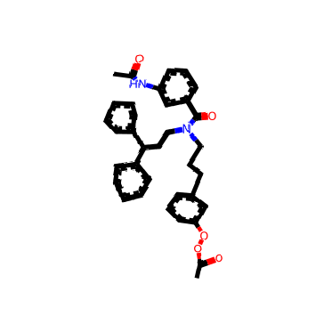 CC(=O)Nc1cccc(C(=O)N(CCCc2cccc(OOC(C)=O)c2)CCC(c2ccccc2)c2ccccc2)c1